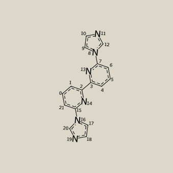 c1cc(-c2cccc(-n3ccnc3)n2)nc(-n2ccnc2)c1